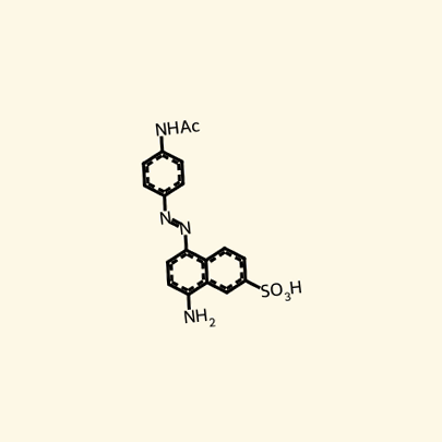 CC(=O)Nc1ccc(/N=N/c2ccc(N)c3cc(S(=O)(=O)O)ccc23)cc1